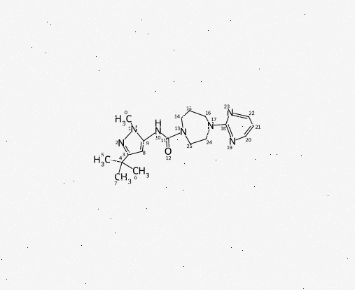 Cn1nc(C(C)(C)C)cc1NC(=O)N1CCCN(c2ncccn2)CC1